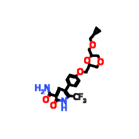 NC(=O)c1cc(-c2ccc(OCC3COCC(COCC4CC4)O3)cc2)c(C(F)(F)F)[nH]c1=O